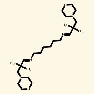 CC(C)(C=NCCCCCCN=CC(C)(C)CN1CCOCC1)CN1CCOCC1